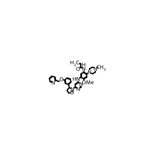 C=CC(=O)Nc1cc(Nc2cc(N3OCCC3c3cccc(OCc4ccccn4)c3)ncn2)c(OC)cc1N1CCN(C)CC1